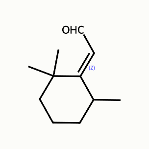 CC1CCCC(C)(C)/C1=C\C=O